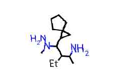 CCC(C(C)N)C(C1CC12CCCC2)N(C)N